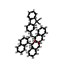 CC1(C)c2ccccc2-c2ccc(N(c3ccc4ccccc4c3-c3cccc4ccccc34)c3cccc4ccccc34)cc21